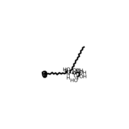 CCCCCCCCCCCCCC[C@@H](O)[C@@H](O)[C@H](CO[C@H]1O[C@H](CO)[C@H](O)[C@H](O)[C@H]1O)NC(=O)CCCCCCCCCCC12CC3CC(CC(C3)C1)C2